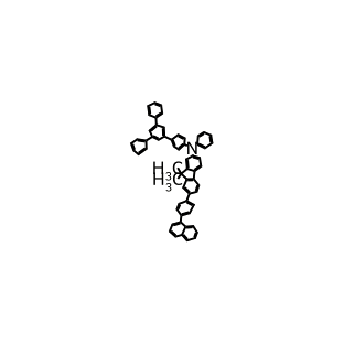 CC1(C)c2cc(-c3ccc(-c4cccc5ccccc45)cc3)ccc2-c2ccc(N(c3ccccc3)c3ccc(-c4cc(-c5ccccc5)cc(-c5ccccc5)c4)cc3)cc21